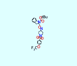 CC(C)(C)OC(=O)N1c2ccccc2CC1CON=C1CCN(S(=O)(=O)c2ccc(OC(F)(F)F)cc2)CC1